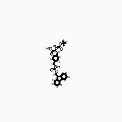 CN(C(=O)OC(C)(C)C)[C@@H](Cc1ccc(CNC(=O)OCC2c3ccccc3-c3ccccc32)cc1)C(=O)O